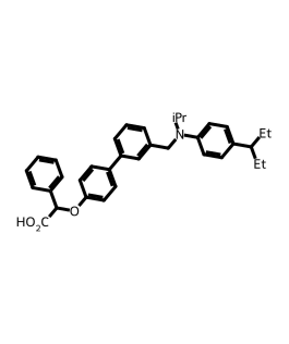 CCC(CC)c1ccc(N(Cc2cccc(-c3ccc(OC(C(=O)O)c4ccccc4)cc3)c2)C(C)C)cc1